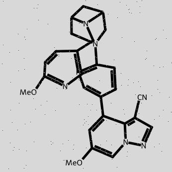 COc1cc(-c2ccc(N3CC4CC(C3)N4Cc3ccc(OC)nc3)nc2)c2c(C#N)cnn2c1